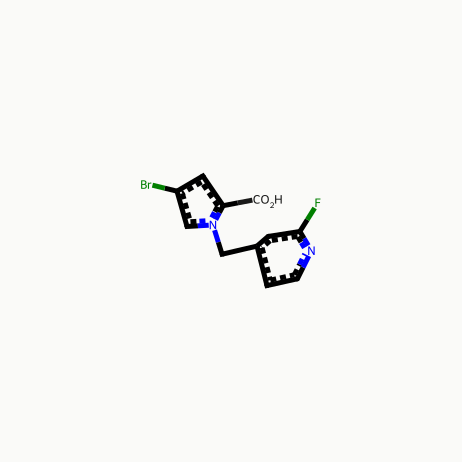 O=C(O)c1cc(Br)cn1Cc1ccnc(F)c1